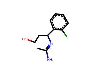 C/C(N)=N\C(CCO)c1ccccc1F